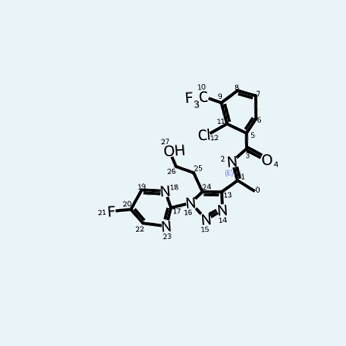 C/C(=N\C(=O)c1cccc(C(F)(F)F)c1Cl)c1nnn(-c2ncc(F)cn2)c1CCO